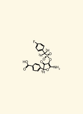 [2H]C([2H])(c1ccc(F)cc1)S(=O)(=O)OC1=C(N)O[C@]([2H])(c2ccc(C(=O)O)cc2)C1=O